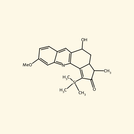 COc1ccc2cc3c(nc2c1)C1=C([Si](C)(C)C)C(=O)C(C)C1CC3O